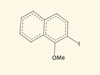 COc1c(I)ccc2ccccc12